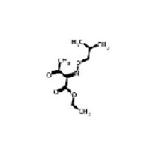 CCOC(=O)C(=NOCC(C)C)C(C)=O